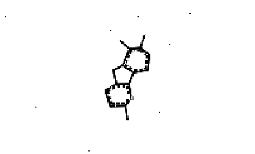 Cc1ccc2c(n1)-c1ccc(C)c(C)c1C2